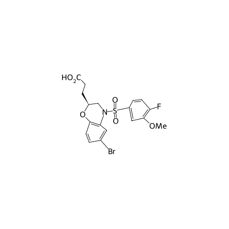 COc1cc(S(=O)(=O)N2C[C@H](CCC(=O)O)Oc3ccc(Br)cc32)ccc1F